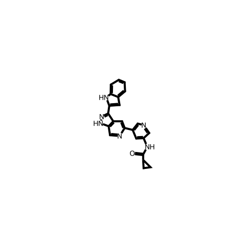 O=C(Nc1cncc(-c2cc3c(-c4cc5ccccc5[nH]4)n[nH]c3cn2)c1)C1CC1